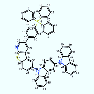 c1ccc(S(c2ccccc2)(c2ccccc2)c2ccc(-c3cnc4sc5ccc(-n6c7ccccc7c7cc(-n8c9ccccc9c9ccccc98)ccc76)cc5c4c3)cc2)cc1